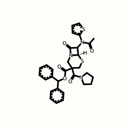 CC(=O)N(c1cccs1)C1C(=O)N2CC(C(=O)OC(c3ccccc3)c3ccccc3)(C(=O)N3CCCC3)CS[C@H]12